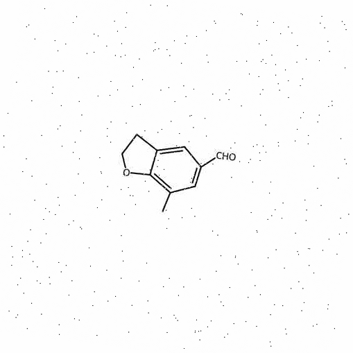 Cc1cc(C=O)cc2c1OCC2